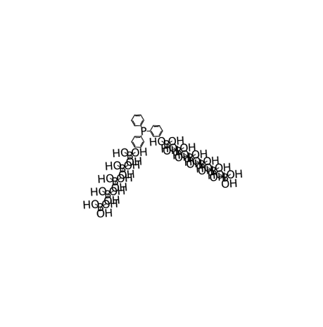 OB(O)O.OB(O)O.OB(O)O.OB(O)O.OB(O)O.OB(O)O.OB(O)O.OB(O)O.OB(O)O.OB(O)O.OB(O)O.c1ccc(P(c2ccccc2)c2ccccc2)cc1